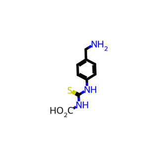 NCc1ccc(NC(=S)NC(=O)O)cc1